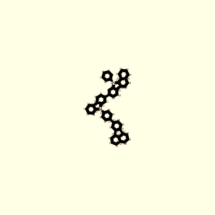 c1ccc(-n2c3cc(-c4ccc5c6ccccc6n(-c6ccc(-c7ccc8c(c7)-c7cccc9cccc-8c79)cc6)c5c4)ccc3c3ccc4ccccc4c32)cc1